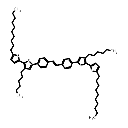 CCCCCCCCCCc1ccc(-c2sc(-c3ccc(/C=C/c4ccc(-c5cc(CCCCCC)c(-c6ccc(CCCCCCCCCC)s6)s5)cc4)cc3)cc2CCCCCC)s1